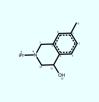 Cc1ccc2c(c1)CN(C(C)C)CC2O